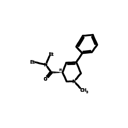 CCN(CC)C(=O)[C@@H]1C=C(c2ccccc2)CN(C)C1